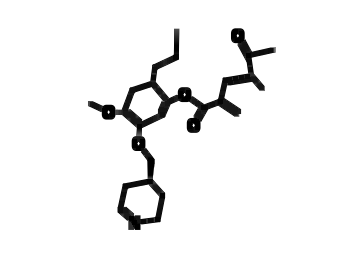 C=C(/C=C(\C)C(C)=O)C(=O)OC1=CC(OC[C@@H]2CC=NCC2)=C(OC)CC1CCC